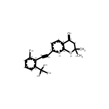 CC1(C)CC(=O)c2ccc(C#Cc3c(F)cccc3C(F)(F)F)nc2O1